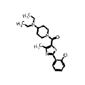 CCN(CC)C1CCN(C(=O)c2sc(-c3ccccc3Cl)nc2C)CC1